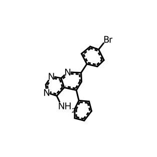 Nc1ncnc2nc(-c3ccc(Br)cc3)cc(-c3ccccc3)c12